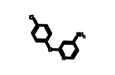 Nc1ccnc(Oc2ccc(Cl)cc2)c1